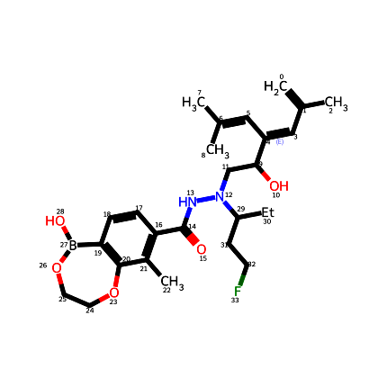 C=C(C)/C=C(\C=C(C)C)C(O)CN(NC(=O)c1ccc2c(c1C)OCCOB2O)C(CC)CCF